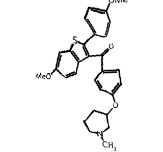 COc1ccc(-c2sc3cc(OC)ccc3c2C(=O)c2ccc(OC3CCCN(C)C3)cc2)cc1